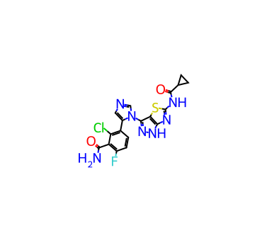 NC(=O)c1c(F)ccc(-c2cncn2-c2n[nH]c3nc(NC(=O)C4CC4)sc23)c1Cl